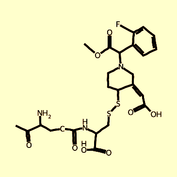 COC(=O)C(c1ccccc1F)N1CCC(SSCC(NC(=O)CCC(N)C(C)=O)C(=O)O)/C(=C\C(=O)O)C1